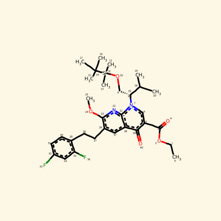 CCOC(=O)c1cn([C@H](CO[Si](C)(C)C(C)(C)C)C(C)C)c2nc(OC)c(CCc3ccc(F)cc3F)cc2c1=O